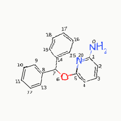 Nc1cccc(OC(c2ccccc2)c2ccccc2)n1